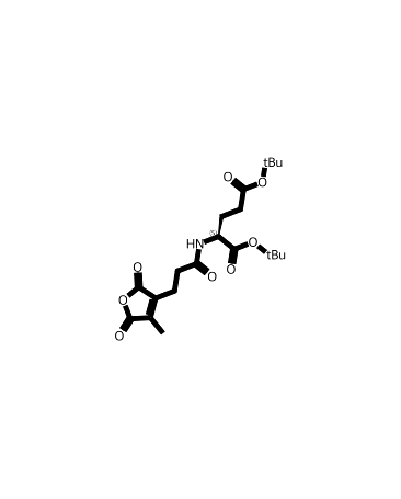 CC1=C(CCC(=O)N[C@@H](CCC(=O)OC(C)(C)C)C(=O)OC(C)(C)C)C(=O)OC1=O